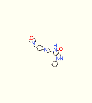 O=c1[nH]c(C2CN(c3ccc(CN4CCOCC4)cc3)C2)cc2c1cnn2-c1ccccc1